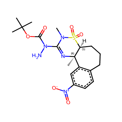 CN1C(N(N)C(=O)OC(C)(C)C)=N[C@]2(C)c3cc([N+](=O)[O-])ccc3CCC[C@@H]2S1(=O)=O